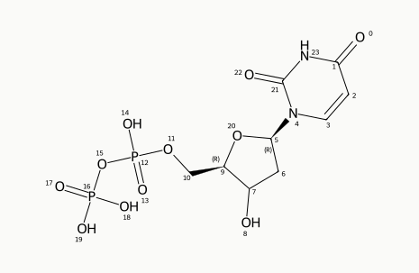 O=c1ccn([C@H]2CC(O)[C@@H](COP(=O)(O)OP(=O)(O)O)O2)c(=O)[nH]1